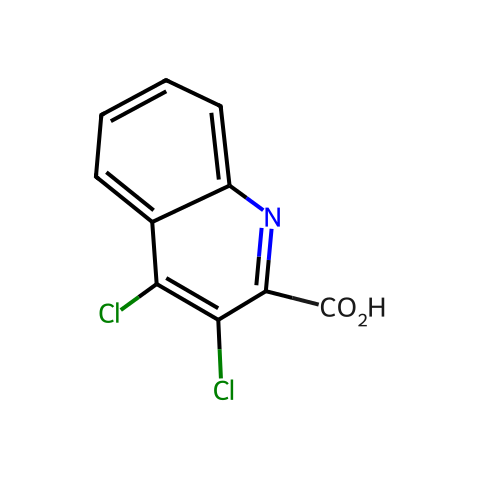 O=C(O)c1nc2ccccc2c(Cl)c1Cl